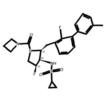 Cc1cccc(-c2cccc(C[C@H]3[C@@H](NS(=O)(=O)C4CC4)[C@@H](F)CN3C(=O)N3CCC3)c2F)c1